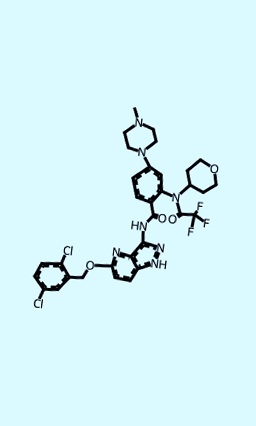 CN1CCN(c2ccc(C(=O)Nc3n[nH]c4ccc(OCc5cc(Cl)ccc5Cl)nc34)c(N(C(=O)C(F)(F)F)C3CCOCC3)c2)CC1